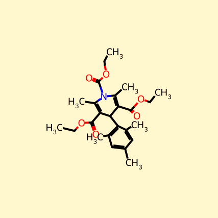 CCOC(=O)C1=C(C)N(C(=O)OCC)C(C)=C(C(=O)OCC)C1c1c(C)cc(C)cc1C